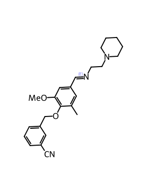 COc1cc(/C=N/CCN2CCCCC2)cc(C)c1OCc1cccc(C#N)c1